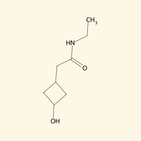 CCNC(=O)CC1CC(O)C1